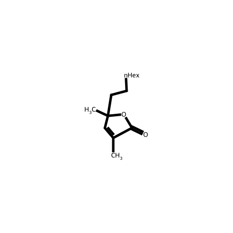 CCCCCCCCC1(C)C=C(C)C(=O)O1